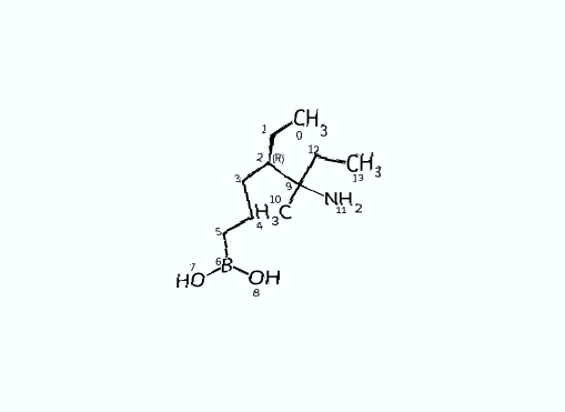 CC[C@H](CCCB(O)O)C(C)(N)CC